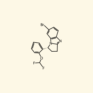 FC(F)Oc1ccccc1[C@H]1CCc2nc3ccc(Br)cc3n21